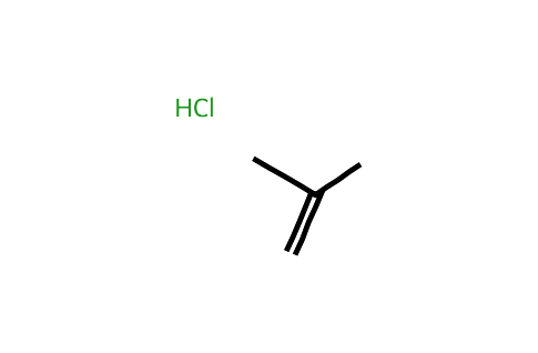 C=C(C)C.Cl